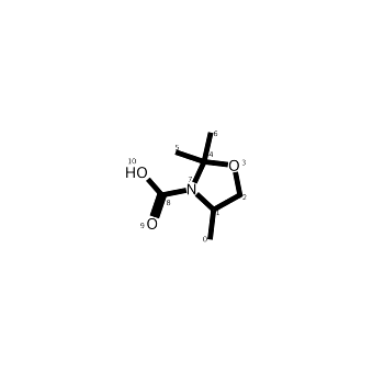 CC1COC(C)(C)N1C(=O)O